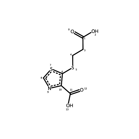 O=C(O)CCSc1scnc1C(=O)O